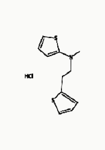 CN(CCc1cccs1)c1cccs1.Cl